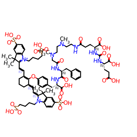 CN(CCNC(=O)CC[C@H](NC(=O)N[C@@H](CCC(=O)O)C(=O)O)C(=O)O)CCN(C)CC(=O)N[C@@H](Cc1ccccc1)C(=O)N[C@@H](Cc1ccc(OC2=C(/C=C/C3=[N+](CCCCS(=O)(=O)O)c4ccc(S(=O)(=O)O)cc4C3(C)C)CCC/C2=C\C=C2\N(CCCCS(=O)(=O)O)c3ccc(S(=O)(=O)O)cc3C2(C)C)cc1)C(=O)O